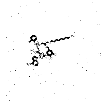 CCCCCCCCCCCCCCCCCCOC[C@H](COP(=O)(OC[C@@H](OC#N)[C@H]1OC(C)(C)O[C@H]1c1ccc2c(N)ncnn12)Oc1ccccc1Cl)OCc1ccc(Cl)c(Cl)c1